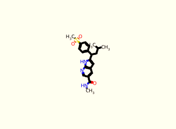 CNC(=O)c1cnc2[nH]c(C(CC(C)C)c3ccc(S(C)(=O)=O)cc3)cc2c1